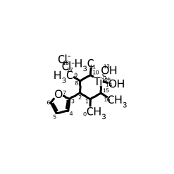 CC1C(c2ccco2)C(C)[CH](C)[Ti+2]([OH])([OH])[CH]1C.[Cl-].[Cl-]